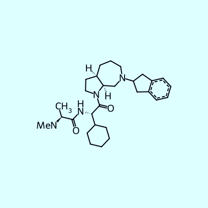 CN[C@@H](C)C(=O)N[C@H](C(=O)N1CC[C@H]2CCCN(C3Cc4ccccc4C3)C[C@H]21)C1CCCCC1